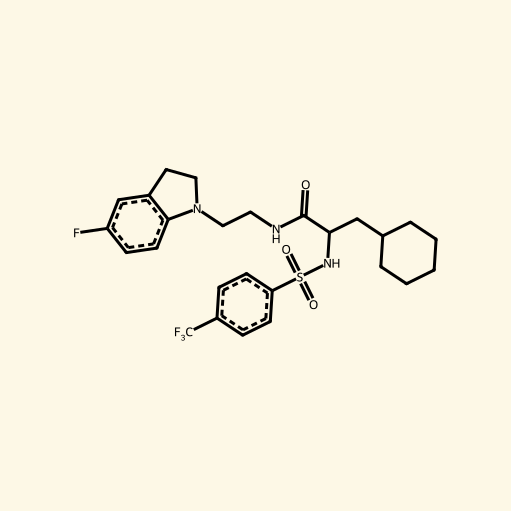 O=C(NCCN1CCc2cc(F)ccc21)C(CC1CCCCC1)NS(=O)(=O)c1ccc(C(F)(F)F)cc1